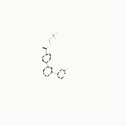 CC(C)(CNC(=O)c1ccc(-c2cncc(-c3ccnc(C(C)(C)C)c3)c2)cc1)C(=O)O